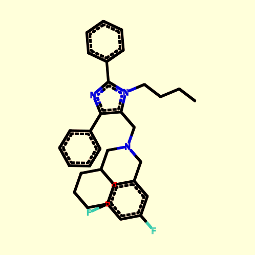 CCCCn1c(-c2ccccc2)nc(-c2ccccc2)c1CN(Cc1cc(F)cc(F)c1)CC1CCCCC1